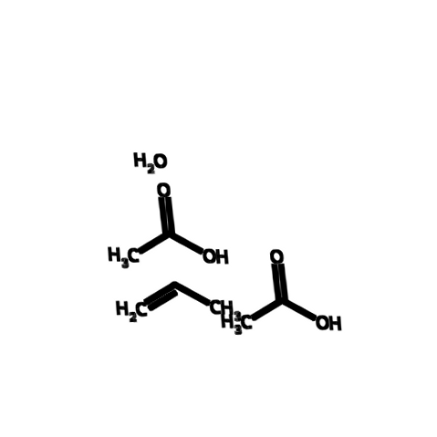 C=CC.CC(=O)O.CC(=O)O.O